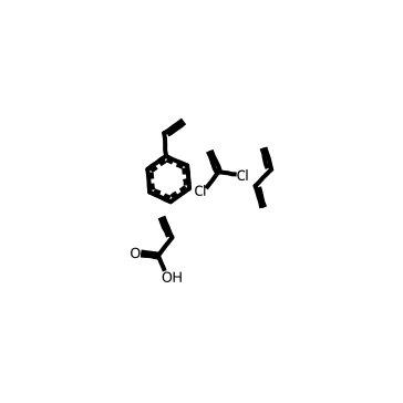 C=C(Cl)Cl.C=CC(=O)O.C=CC=C.C=Cc1ccccc1